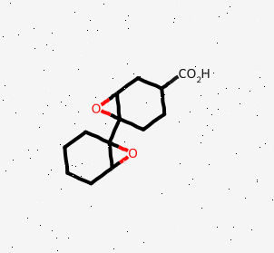 O=C(O)C1CCC2(C34CCCCC3O4)OC2C1